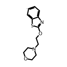 [c]1ccc2nc(OCCN3CCOCC3)sc2c1